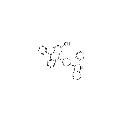 Cc1ccc2c(-c3ccccc3)c3ccccc3c(C3=CC=C(N4C(c5ccccc5)=NC5CCC=CC54)CC3)c2c1